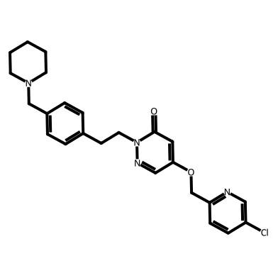 O=c1cc(OCc2ccc(Cl)cn2)cnn1CCc1ccc(CN2CCCCC2)cc1